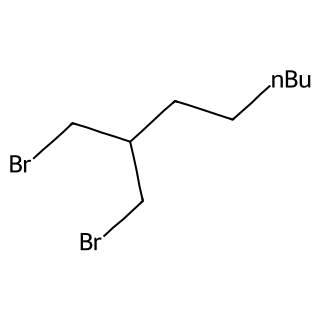 CCCCCCC(CBr)CBr